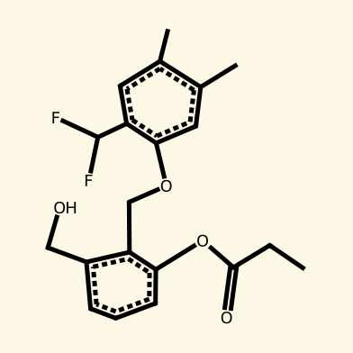 CCC(=O)Oc1cccc(CO)c1COc1cc(C)c(C)cc1C(F)F